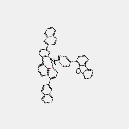 c1ccc(-c2ccc(-c3ccc4ccccc4c3)cc2N(c2ccc(-c3ccc4ccccc4c3)cc2)c2ccc(-c3cccc4c3oc3ccccc34)cc2)cc1